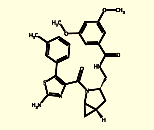 COc1cc(OC)cc(C(=O)NC[C@@H]2C[C@@H]3CC3N2C(=O)c2nc(N)sc2-c2cccc(C)c2)c1